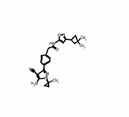 CC1(C)CC(c2cc(NC(=O)Cc3ccc(-c4nn(C5(C)CC5)c(N)c4C#N)cc3)on2)C1